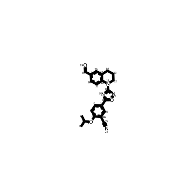 CC(C)Oc1ccc(-c2nc(N3CCCc4cc(C=O)ccc43)no2)cc1C#N